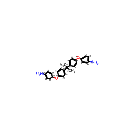 CC(C)(c1ccc(Oc2ccc(N)cc2)cc1)c1ccc(OC2C=CC(N)=CC2)cc1